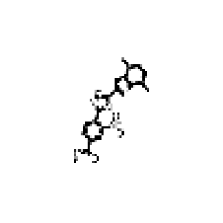 COC(=O)c1ccc(-c2noc(-c3cc4c(C)ccc(C)c4o3)n2)c([N+](=O)[O-])c1